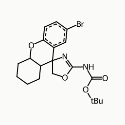 CC(C)(C)OC(=O)NC1=NC2(CO1)c1cc(Br)ccc1OC1CCCCC12